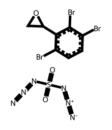 Brc1ccc(Br)c(C2CO2)c1Br.[N-]=[N+]=NS(=O)(=O)N=[N+]=[N-]